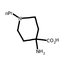 CCCN1CCC(N)(C(=O)O)CC1